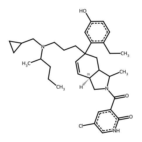 CCCC(C)N(CCCC1(c2cc(O)ccc2CC)C=C[C@@H]2CN(C(=O)c3cc(Cl)c[nH]c3=O)C(C)C2C1)CC1CC1